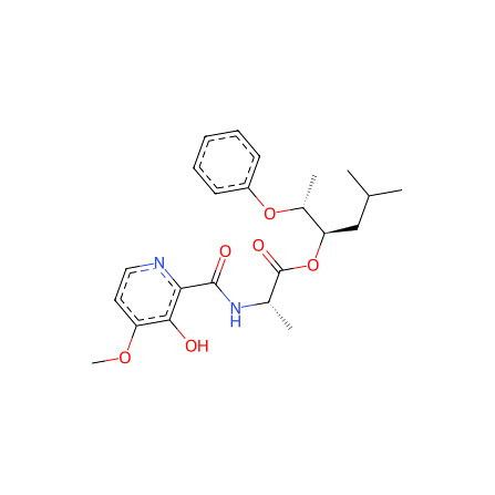 COc1ccnc(C(=O)N[C@@H](C)C(=O)O[C@H](CC(C)C)[C@@H](C)Oc2ccccc2)c1O